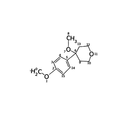 [CH2]Oc1ccc(C2(OC)CCOCC2)cc1